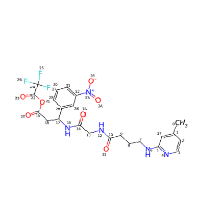 Cc1ccnc(NCCCC(=O)NCC(=O)NC(CC(=O)OC(=O)C(F)(F)F)c2cccc([N+](=O)[O-])c2)c1